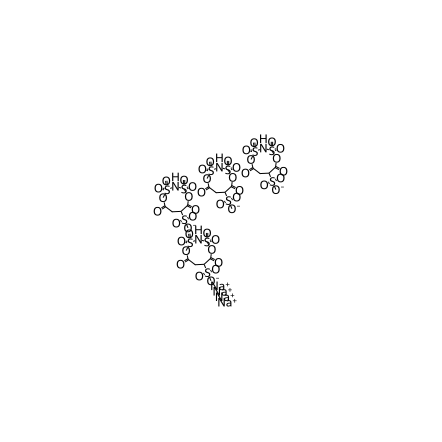 O=C1CC(S(=O)(=O)[O-])C(=O)OS(=O)(=O)NS(=O)(=O)O1.O=C1CC(S(=O)(=O)[O-])C(=O)OS(=O)(=O)NS(=O)(=O)O1.O=C1CC(S(=O)(=O)[O-])C(=O)OS(=O)(=O)NS(=O)(=O)O1.O=C1CC(S(=O)(=O)[O-])C(=O)OS(=O)(=O)NS(=O)(=O)O1.[Na+].[Na+].[Na+].[Na+]